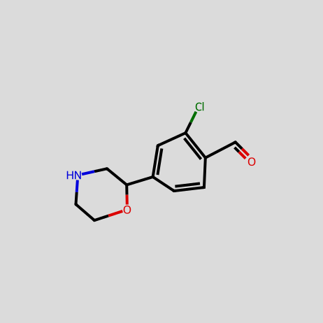 O=Cc1ccc(C2CNCCO2)cc1Cl